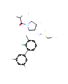 CC[S+]([O-])N[C@H]1[C@@H](F)CN(C(=O)C(C)C)[C@H]1Cc1cccc(-c2cc(F)cc(F)c2)c1F